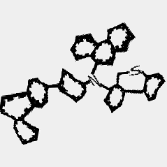 c1ccc2c(c1)SCc1c-2cccc1N(c1ccc(-c2ccc3ccc4ccccc4c3c2)cc1)c1cc2ccccc2c2ccccc12